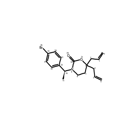 C=CCC1(CC=C)CCN([C@@H](C)c2ccc(Br)cc2)C(=O)O1